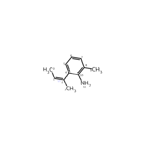 C/C=C(/C)c1cccc(C)c1N